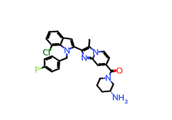 Cc1c(-c2cc3cccc(Cl)c3n2Cc2ccc(F)cc2)nc2cc(C(=O)N3CCC[C@@H](N)C3)ccn12